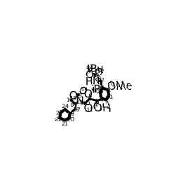 COc1ccc(C(O)C(OC(C)C)C(=O)N2C(=O)OC[C@@H]2Cc2ccccc2)cc1CNC(=O)OC(C)(C)C